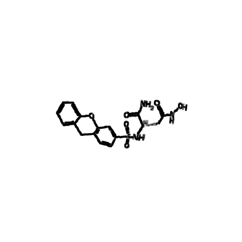 NC(=O)[C@H](CC(=O)NO)NS(=O)(=O)c1ccc2c(c1)Oc1ccccc1C2